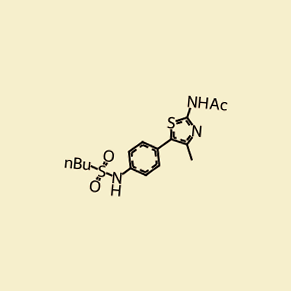 CCCCS(=O)(=O)Nc1ccc(-c2sc(NC(C)=O)nc2C)cc1